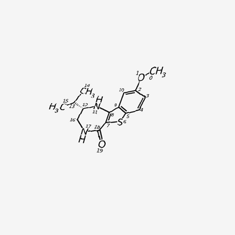 COc1ccc2sc3c(c2c1)N[C@@H](C(C)C)CNC3=O